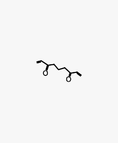 C=CC(=O)CCCC(=O)C=C